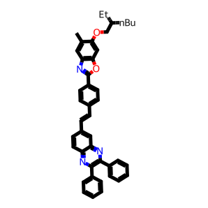 CCCCC(CC)COc1cc2oc(-c3ccc(C=Cc4ccc5nc(-c6ccccc6)c(-c6ccccc6)nc5c4)cc3)nc2cc1C